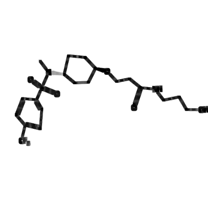 CN([C@H]1CC[C@H](OCCC(=O)NCCCO)CC1)S(=O)(=O)c1ccc(C(F)(F)F)cc1